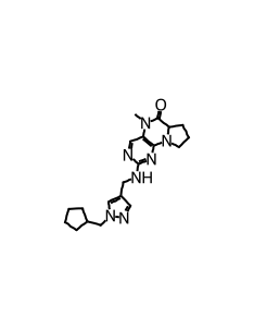 CN1C(=O)C2CCCN2c2nc(NCc3cnn(CC4CCCC4)c3)ncc21